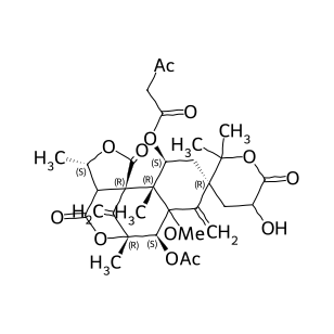 C=C1C2(OC)[C@@H](OC(C)=O)[C@]3(C)OC(=O)C4[C@H](C)OC(=O)[C@]4(C3=C)[C@]2(C)[C@@H](OC(=O)CC(C)=O)C[C@]12CC(O)C(=O)OC2(C)C